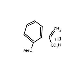 C=CC(=O)O.COc1ccccc1.Cl